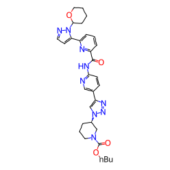 CCCCOC(=O)N1CCC[C@@H](n2cc(-c3ccc(NC(=O)c4cccc(-c5ccnn5C5CCCCO5)n4)nc3)nn2)C1